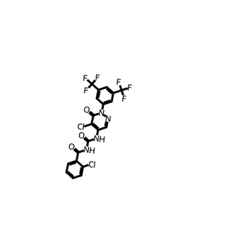 O=C(NC(=O)c1ccccc1Cl)Nc1cnn(-c2cc(C(F)(F)F)cc(C(F)(F)F)c2)c(=O)c1Cl